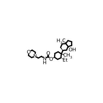 CC[C@@H]1C[C@@H](OC(=O)NCCN2CCOCC2)CC[C@]1(C)[C@H]1CC[C@]2(C)CCC[C@]2(O)C1